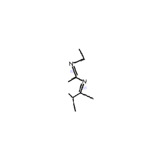 CC/N=C(C)\N=C(\C)C(C)C